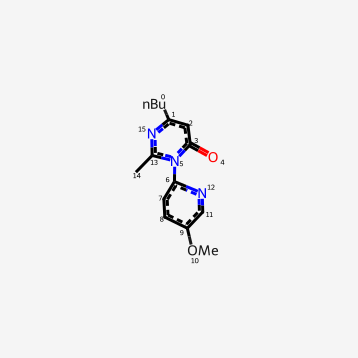 CCCCc1cc(=O)n(-c2ccc(OC)cn2)c(C)n1